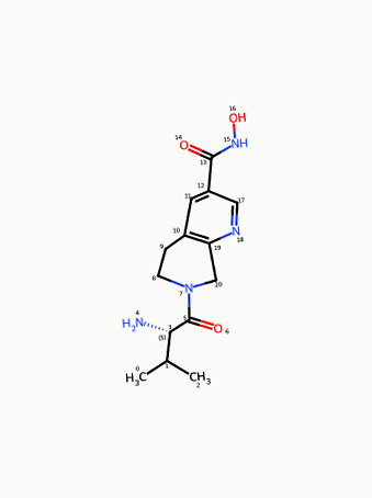 CC(C)[C@H](N)C(=O)N1CCc2cc(C(=O)NO)cnc2C1